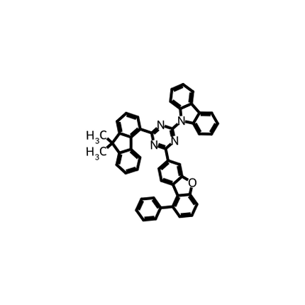 CC1(C)c2ccccc2-c2c(-c3nc(-c4ccc5c(c4)oc4cccc(-c6ccccc6)c45)nc(-n4c5ccccc5c5ccccc54)n3)cccc21